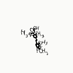 C/C=C(/CC(=O)O)c1c(C)cc(CCc2ccc(C(C)(F)F)nc2C)cc1F